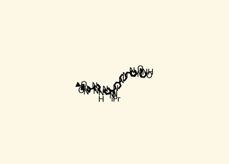 CC(C)n1nc(N2CCC(N3CCN(Cc4ccc(N5CCC(=O)NC5=O)cn4)CC3)CC2)c2cnc(Nc3ccnc(-c4cnn(S(=O)(=O)C5CC5)c4)n3)cc21